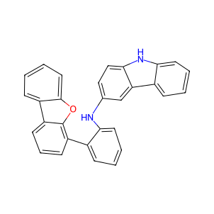 c1ccc(-c2cccc3c2oc2ccccc23)c(Nc2ccc3[nH]c4ccccc4c3c2)c1